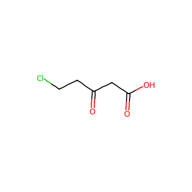 O=C(O)CC(=O)CCCl